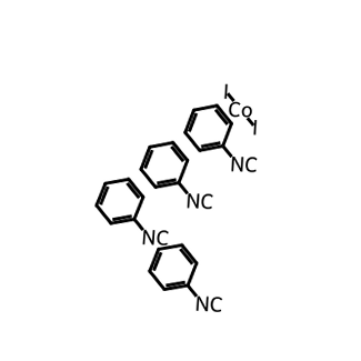 [C-]#[N+]c1ccccc1.[C-]#[N+]c1ccccc1.[C-]#[N+]c1ccccc1.[C-]#[N+]c1ccccc1.[I][Co][I]